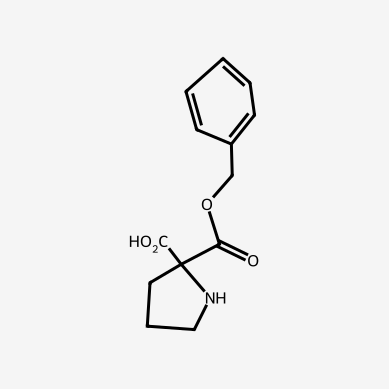 O=C(O)C1(C(=O)OCc2ccccc2)CCCN1